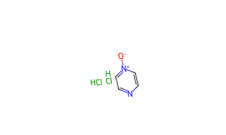 Cl.Cl.[O-][n+]1ccncc1